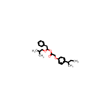 CCC(C)c1ccc(OCC(=O)OC(Cc2ccccc2)OCC(C)C)cc1